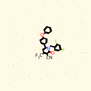 N#Cc1c(C(F)(F)F)cc(-c2ccc(Oc3ccccc3)cc2)n(Cc2ccc(F)cc2F)c1=O